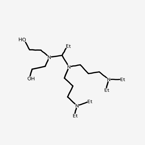 CCC(N(CCO)CCO)N(CCCN(CC)CC)CCCN(CC)CC